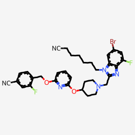 N#CCCCCCCn1c(CN2CCC(Oc3cccc(OCc4ccc(C#N)cc4F)n3)CC2)nc2c(F)cc(Br)cc21